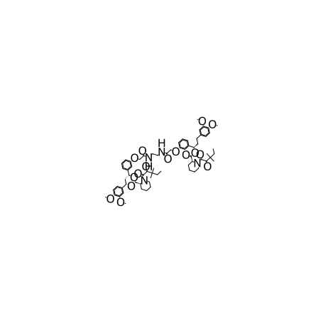 CCC(C)(C)C(=O)C(=O)N1CCCC[C@H]1C(=O)O[C@H](CCc1ccc(OC)c(OC)c1)c1cccc(OCC(=O)NCCNC(=O)COc2cccc([C@@H](CCc3ccc(OC)c(OC)c3)OC(=O)[C@@H]3CCCCN3C(=O)C(=O)C(C)(C)CC)c2)c1